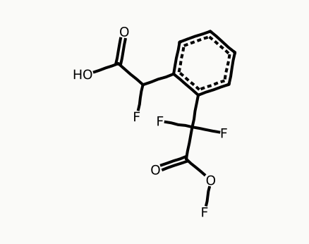 O=C(O)C(F)c1ccccc1C(F)(F)C(=O)OF